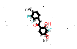 CCCc1ccc(CC(=O)c2ccc(OCC)c(F)c2O)c(F)c1F